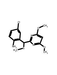 COc1cc(OC)nc(C(SC)c2cc(Cl)ccc2N)n1